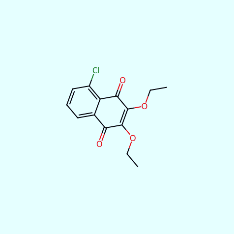 CCOC1=C(OCC)C(=O)c2c(Cl)cccc2C1=O